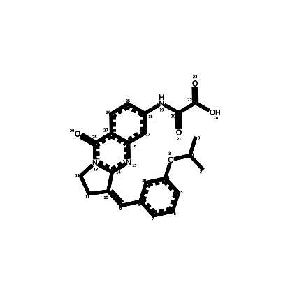 CC(C)Oc1cccc(/C=C2/CCn3c2nc2cc(NC(=O)C(=O)O)ccc2c3=O)c1